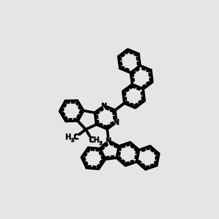 CC1(C)c2ccccc2-c2nc(-c3ccc4ccc5ccccc5c4c3)nc(-n3c4ccccc4c4cc5ccccc5cc43)c21